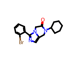 O=C1Cn2c(cnc2-c2ccccc2Br)CN1C1CCCCC1